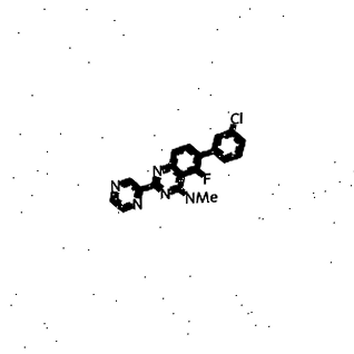 CNc1nc(-c2cnccn2)nc2ccc(-c3cccc(Cl)c3)c(F)c12